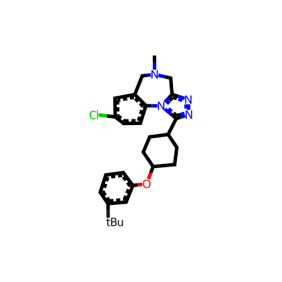 CN1Cc2cc(Cl)ccc2-n2c(nnc2C2CCC(Oc3cccc(C(C)(C)C)c3)CC2)C1